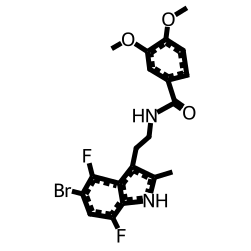 COc1ccc(C(=O)NCCc2c(C)[nH]c3c(F)cc(Br)c(F)c23)cc1OC